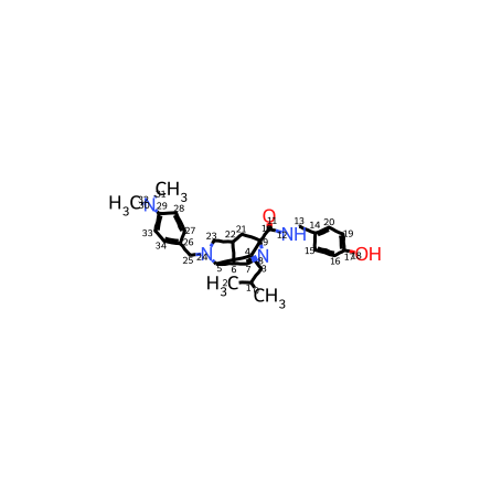 CC(C)CC1C2C3C=NC1(C(=O)NCc1ccc(O)cc1)CC3CN2Cc1ccc(N(C)C)cc1